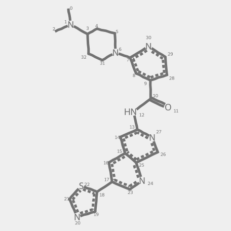 CN(C)C1CCN(c2cc(C(=O)Nc3cc4cc(-c5cncs5)cnc4cn3)ccn2)CC1